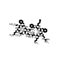 C#CCCC(=O)N[C@@H](Cc1ccccc1)C(=O)N[C@@H](Cc1ccccc1)C(=O)N[C@@H](CCCNC(=N)N)C(=O)N[C@@H](CCCCN)C(=O)N[C@@H](CO)C(=O)N[C@H](C(=O)N[C@H](C(=O)N[C@@H](CC(N)=O)C(=O)N[C@@H](Cc1ccccc1)C(=O)N[C@@H](CCC(=O)O)C(=O)N[C@@H](CCCCN)C(=O)N[C@@H](CC(C)C)C(=O)O)[C@@H](C)CC)[C@@H](C)CC